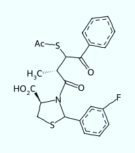 CC(=O)SC(C(=O)c1ccccc1)[C@@H](C)C(=O)N1C(c2cccc(F)c2)SC[C@H]1C(=O)O